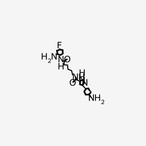 Nc1ccc(-c2cc(C(=O)NCCCCCC(=O)Nc3ccc(F)cc3N)[nH]n2)cc1